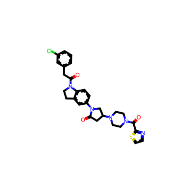 O=C(c1nccs1)N1CCN(C2CC(=O)N(c3ccc4c(c3)CCN4C(=O)Cc3cccc(Cl)c3)C2)CC1